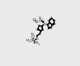 C[CH]=[Zr+2]([C]1=CC(CCO[Si](C)(C)C)=CC1)[CH]1C=Cc2ccccc21.[Cl-].[Cl-]